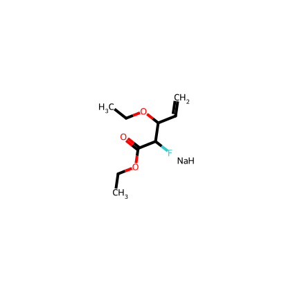 C=CC(OCC)C(F)C(=O)OCC.[NaH]